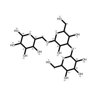 OCC1OC(OC2C(O)C(CO)OC(OCC3OC(O)C(O)C(O)C3O)C2O)C(O)C(O)C1O